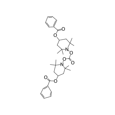 CC1(C)CC(OC(=O)c2ccccc2)CC(C)(C)N1OC(=O)ON1C(C)(C)CC(OC(=O)c2ccccc2)CC1(C)C